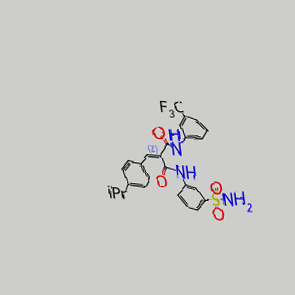 CC(C)c1ccc(/C=C(/C(=O)Nc2cccc(C(F)(F)F)c2)C(=O)Nc2cccc(S(N)(=O)=O)c2)cc1